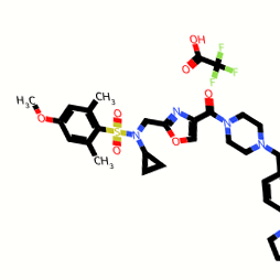 COc1cc(C)c(S(=O)(=O)N(Cc2nc(C(=O)N3CCN(Cc4ccc(N5CCCC5)nc4)CC3)co2)C2CC2)c(C)c1.O=C(O)C(F)(F)F